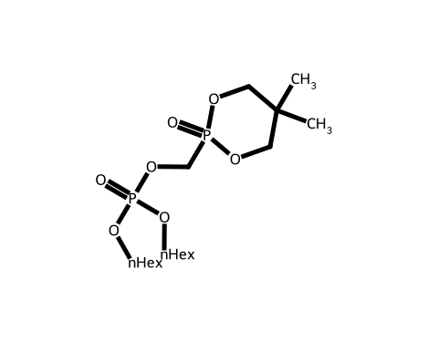 CCCCCCOP(=O)(OCCCCCC)OCP1(=O)OCC(C)(C)CO1